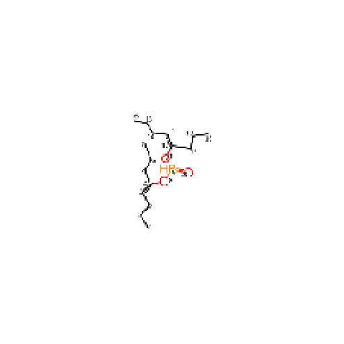 CCC/C=C(/CCC)O[PH](=O)O/C(=C\CCC)CCC